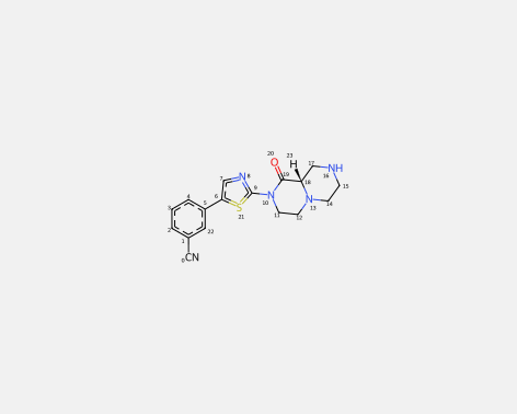 N#Cc1cccc(-c2cnc(N3CCN4CCNC[C@H]4C3=O)s2)c1